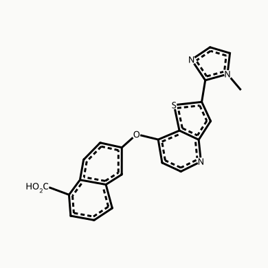 Cn1ccnc1-c1cc2nccc(Oc3ccc4c(C(=O)O)cccc4c3)c2s1